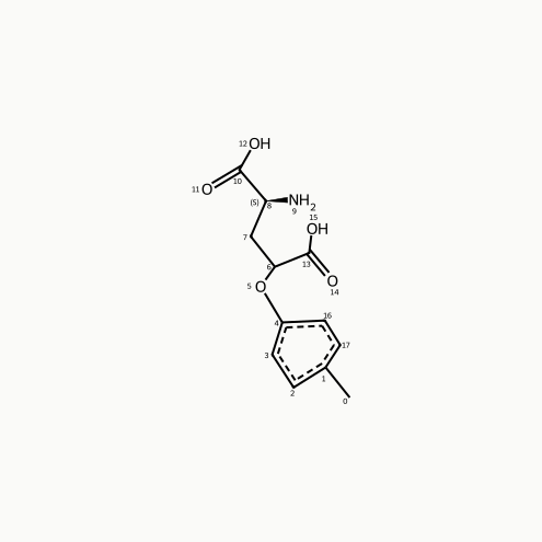 Cc1ccc(OC(C[C@H](N)C(=O)O)C(=O)O)cc1